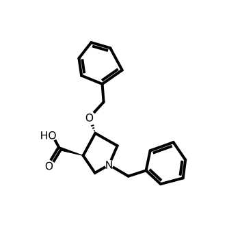 O=C(O)[C@@H]1CN(Cc2ccccc2)C[C@H]1OCc1ccccc1